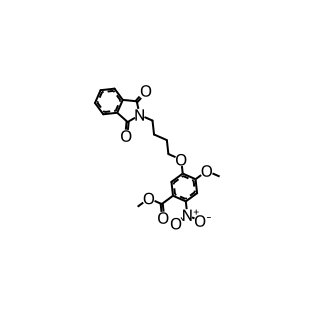 COC(=O)c1cc(OCCCCN2C(=O)c3ccccc3C2=O)c(OC)cc1[N+](=O)[O-]